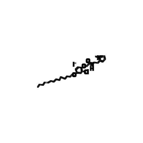 CCCCCCCCCCCCCCOc1ccc(OCC(=O)NCCc2cccc[n+]2C)c(Cl)c1.[I-]